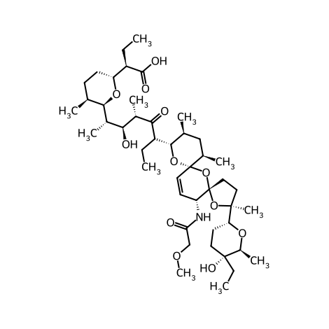 CCC(C(=O)[C@@H](C)[C@@H](O)[C@H](C)[C@@H]1O[C@@H]([C@@H](CC)C(=O)O)CC[C@@H]1C)[C@H]1O[C@]2(C=C[C@@H](NC(=O)COC)[C@]3(CC[C@@](C)([C@H]4CC[C@](O)(CC)[C@H](C)O4)O3)O2)[C@H](C)C[C@@H]1C